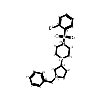 O=S(=O)(c1ccccc1Br)N1CCN(C2[CH]CN(Cc3ccccc3)C2)CC1